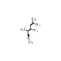 C[N+]#C/C(C)=C(\C)C=C(C)C